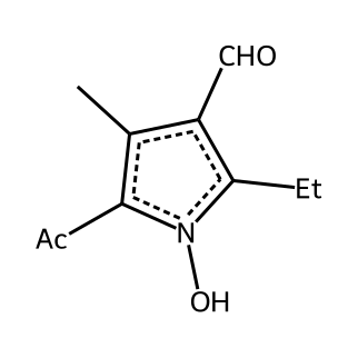 CCc1c(C=O)c(C)c(C(C)=O)n1O